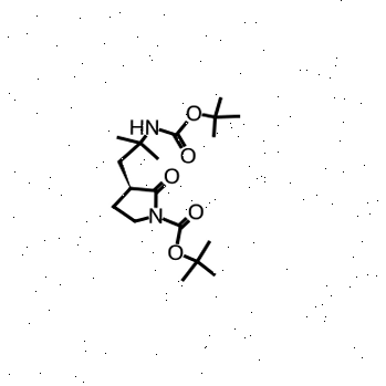 CC(C)(C[C@@H]1CCN(C(=O)OC(C)(C)C)C1=O)NC(=O)OC(C)(C)C